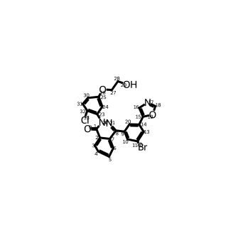 O=c1c2ccccc2c(-c2cc(Br)cc(-c3cnco3)c2)nn1-c1cc(OCCO)ccc1Cl